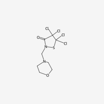 O=C1N(CN2CCOCC2)SC(Cl)(Cl)C1(Cl)Cl